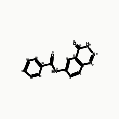 O=C(Nc1ccc2nn[nH]c(=O)c2c1)c1ccccc1